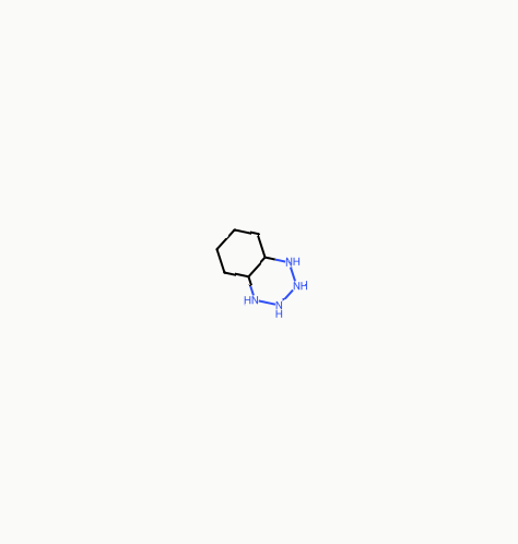 C1CCC2NNNNC2C1